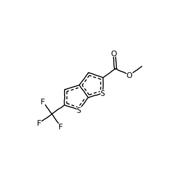 COC(=O)c1cc2cc(C(F)(F)F)sc2s1